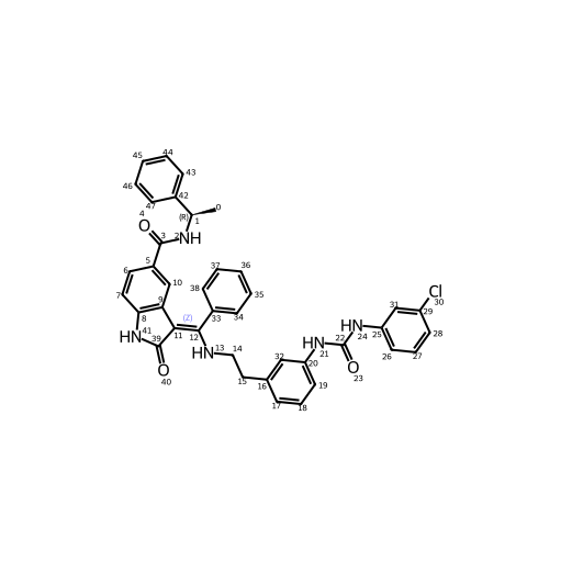 C[C@@H](NC(=O)c1ccc2c(c1)/C(=C(/NCCc1cccc(NC(=O)Nc3cccc(Cl)c3)c1)c1ccccc1)C(=O)N2)c1ccccc1